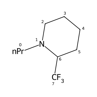 CCCN1CCCCC1C(F)(F)F